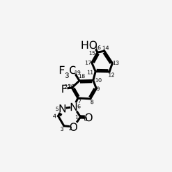 O=C1OCC=NN1c1ccc(-c2cccc(O)c2)c(C(F)(F)F)c1F